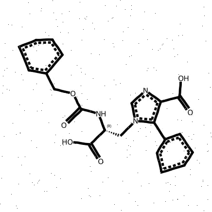 O=C(N[C@H](Cn1cnc(C(=O)O)c1-c1ccccc1)C(=O)O)OCc1ccccc1